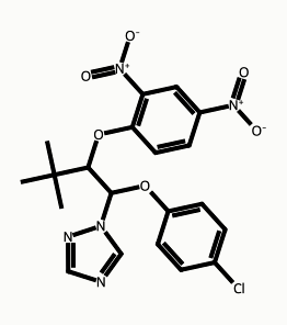 CC(C)(C)C(Oc1ccc([N+](=O)[O-])cc1[N+](=O)[O-])C(Oc1ccc(Cl)cc1)n1cncn1